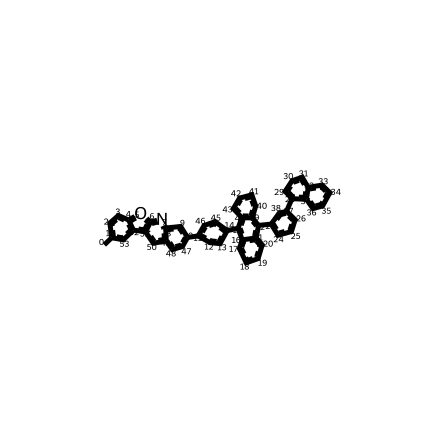 Cc1ccc2oc3nc4cc(-c5ccc(-c6c7ccccc7c(-c7cccc(-c8cccc9ccccc89)c7)c7ccccc67)cc5)ccc4cc3c2c1